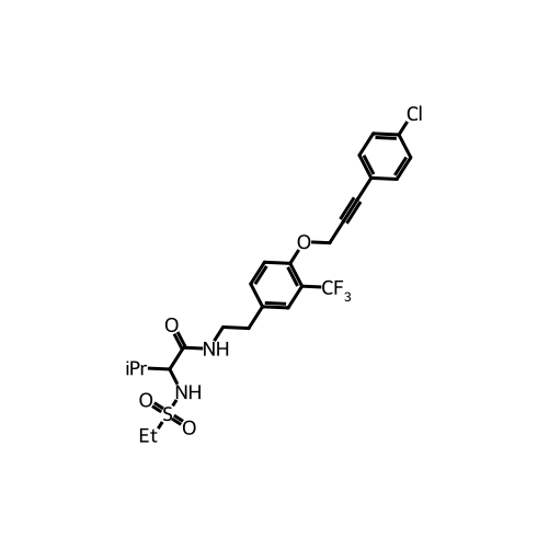 CCS(=O)(=O)NC(C(=O)NCCc1ccc(OCC#Cc2ccc(Cl)cc2)c(C(F)(F)F)c1)C(C)C